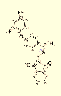 C/C(=C/CN1C(=O)c2ccccc2C1=O)c1ccc(Oc2ccc(F)cc2F)cc1